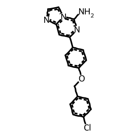 Nc1nc(-c2ccc(OCc3ccc(Cl)cc3)cc2)cc2nccn12